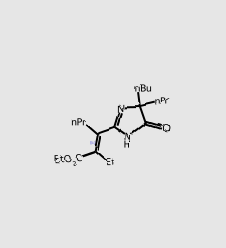 CCCCC1(CCC)N=C(/C(CCC)=C(\CC)C(=O)OCC)NC1=O